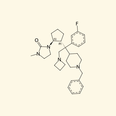 CN1CCN([C@H]2CCC[C@@H]2C(CN2CCC2)(c2cccc(F)c2)C2CCN(Cc3ccccc3)CC2)C1=O